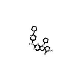 O=C1NCCC12Cc1cnc(Nc3ccc(N4CCCC4)nc3)nc1N2C1CCCC1